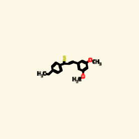 CCc1ccc(C(=S)C=Cc2cc(OC)cc(OC)c2)cc1